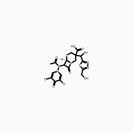 CC(=O)N(C1C(=O)N2CC(C(=O)O)(C(S)c3nnc(CO)s3)CS[C@H]12)n1cc(Cl)c(=O)c(Cl)c1